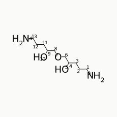 NCCCC(O)COCC(O)CCCN